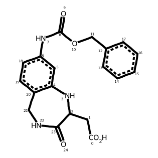 O=C(O)CC1Nc2cc(NC(=O)OCc3ccccc3)ccc2CNC1=O